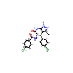 Cc1nn(C)c2c1C(c1ccc(Br)cc1)C(NC(=O)c1ccc(Cl)cc1)C(=O)N2